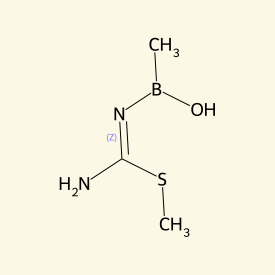 CS/C(N)=N\B(C)O